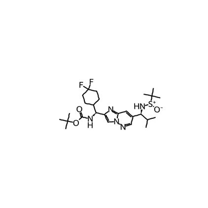 CC(C)[C@H](N[S@@+]([O-])C(C)(C)C)c1cnn2cc([C@@H](NC(=O)OC(C)(C)C)C3CCC(F)(F)CC3)nc2c1